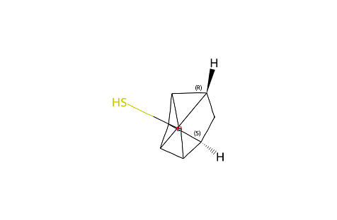 SC1CC2C3C4C1[C@@H]3C[C@@H]24